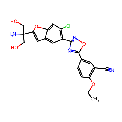 CCOc1ccc(-c2nc(-c3cc4cc(C(N)(CO)CO)oc4cc3Cl)no2)cc1C#N